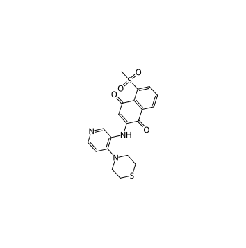 CS(=O)(=O)c1cccc2c1C(=O)C=C(Nc1cnccc1N1CCSCC1)C2=O